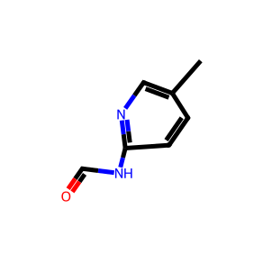 Cc1ccc(NC=O)nc1